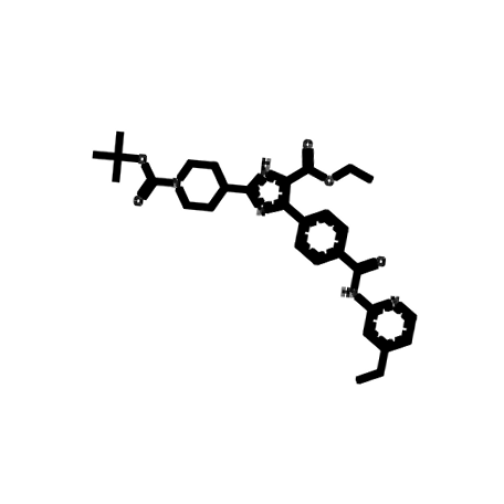 CCOC(=O)c1[nH]c(C2CCN(C(=O)OC(C)(C)C)CC2)nc1-c1ccc(C(=O)Nc2cc(CC)ccn2)cc1